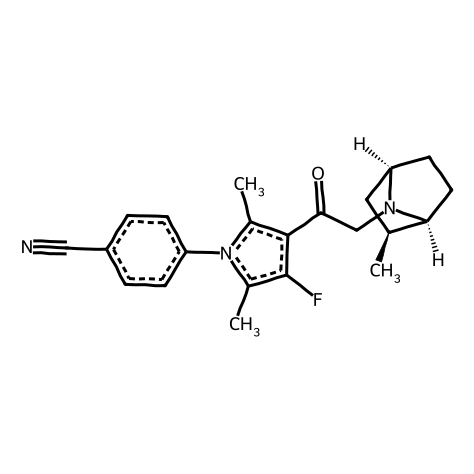 Cc1c(F)c(C(=O)CN2[C@@H]3CC[C@H]2[C@@H](C)C3)c(C)n1-c1ccc(C#N)cc1